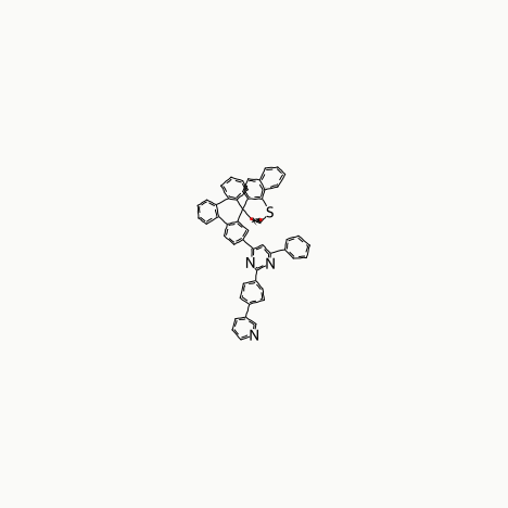 c1ccc(-c2cc(-c3ccc4c(c3)C3(c5ccccc5Sc5c3ccc3ccccc53)c3ccccc3-c3ccccc3-4)nc(-c3ccc(-c4cccnc4)cc3)n2)cc1